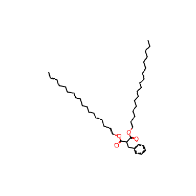 CCCCCCCCCCCCCCCCCCOC(=O)C(Cc1ccccc1)C(=O)OCCCCCCCCCCCCCCCCCC